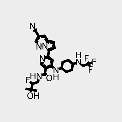 CC(C)(O)C(F)CNC(=O)c1cnc(-c2ccc3cc(C#N)cnn23)cc1NC1CCC(NCC(F)(F)F)CC1